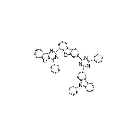 c1ccc(-c2nc(-c3ccc4c(c3)oc3c(-c5nc(-c6ccccc6)c6oc7ccccc7c6n5)cccc34)nc(-c3ccc4c(c3)c3ccccc3n4-c3ccccc3)n2)cc1